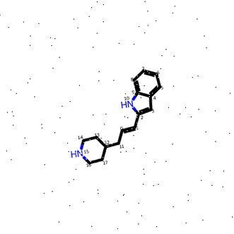 C(=Cc1cc2ccccc2[nH]1)CC1CCNCC1